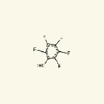 [CH]c1c(F)c(F)c(F)c(F)c1F